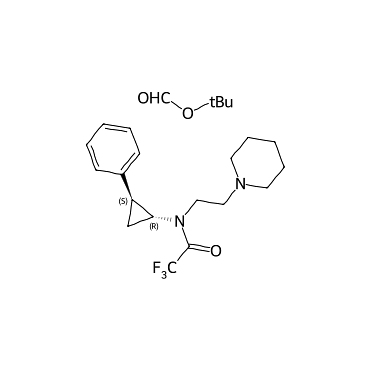 CC(C)(C)OC=O.O=C(N(CCN1CCCCC1)[C@@H]1C[C@H]1c1ccccc1)C(F)(F)F